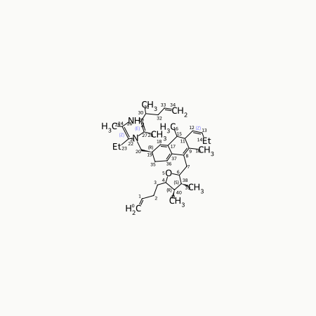 C=CCCC1OC(CC2=C(C)C(/C=C\CC)C(C)C3=C[C@H](CN(/C(CC)=C(/C)N)/C(C)=C/C(C)CC=C)CC=C32)[C@@H](C)[C@H]1C